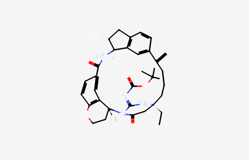 C=C1CCC[C@]2(CC)CC(=O)N(/C(=N/C(=O)OC(C)(C)C)N2)[C@@H]2CCOc3ccc(cc32)C(=O)N[C@@H]2c3cc1ccc3C[C@H]2O